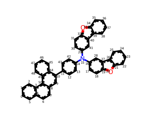 c1ccc2c(c1)ccc1cc(-c3ccc(N(c4ccc5oc6ccccc6c5c4)c4ccc5oc6ccccc6c5c4)cc3)c3ccccc3c12